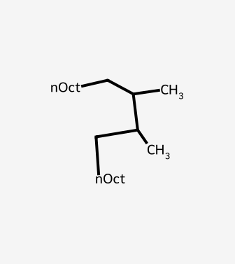 CCCCCCCCCC(C)C(C)CCCCCCCCC